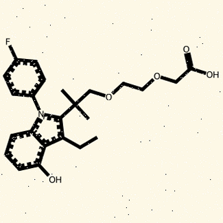 CCc1c(C(C)(C)COCCOCC(=O)O)n(-c2ccc(F)cc2)c2cccc(O)c12